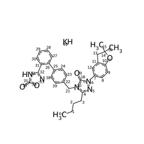 CCCCc1nn(-c2ccc3c(c2)CC(C)(C)O3)c(=O)n1Cc1ccc(-c2ccccc2-c2noc(=O)[nH]2)cc1.[KH]